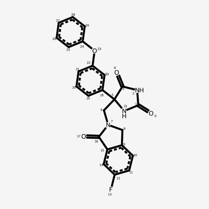 O=C1NC(=O)C(CN2Cc3ccc(F)cc3C2=O)(c2cccc(Oc3ccccc3)c2)N1